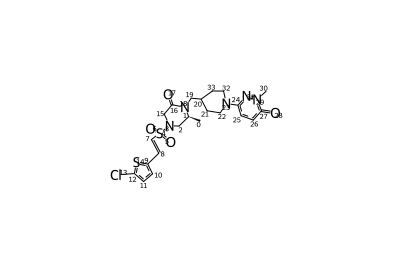 C[C@H]1CN(S(=O)(=O)C=Cc2ccc(Cl)s2)CC(=O)N1CC1CCN(c2ccc(=O)n(C)n2)CC1